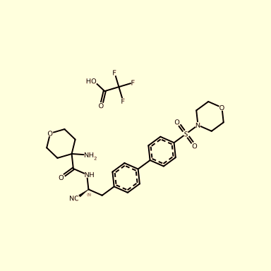 N#C[C@H](Cc1ccc(-c2ccc(S(=O)(=O)N3CCOCC3)cc2)cc1)NC(=O)C1(N)CCOCC1.O=C(O)C(F)(F)F